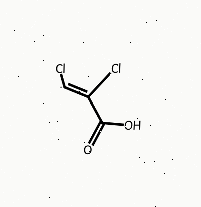 O=C(O)/C(Cl)=[C]/Cl